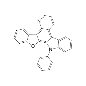 c1ccc(-n2c3ccccc3c3c4cccnc4c4c5ccccc5oc4c32)cc1